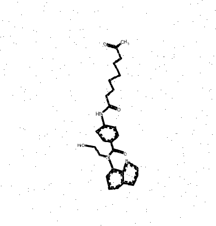 CC(=O)CCCCCCC(=O)Nc1ccc(C(=O)N(CCO)c2cccc3cccnc23)cc1